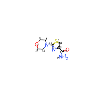 NC(=O)c1[c]sc(N2CCOCC2)n1